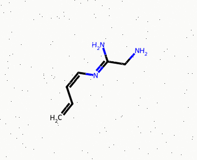 C=C/C=C\N=C(/N)CN